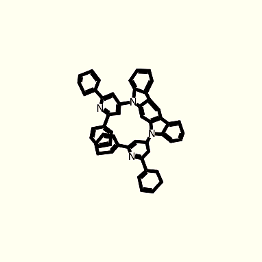 C1=CCCC(C2=NC(C3=CCCC=C3)=CC(n3c4ccccc4c4cc5c6ccccc6n(-c6cc(-c7ccccc7)nc(-c7ccccc7)c6)c5cc43)C2)=C1